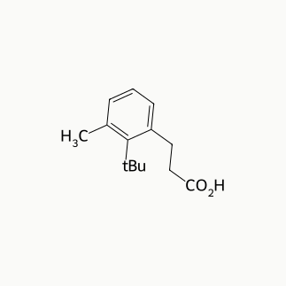 Cc1cccc(CCC(=O)O)c1C(C)(C)C